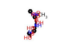 CS(=O)(=O)Nc1cc(OC[C@H](O)CN[C@H](CO)Cc2ccc(Oc3ncccc3CO)cc2)ccc1OCc1ccccc1